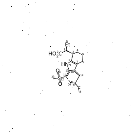 CCC(C(=O)O)[C@H]1CCCc2c1[nH]c1c(S(C)(=O)=O)cc(F)cc21